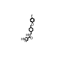 O=C(NCC1CCC(COc2ccc(F)cc2)CC1)C1C=NNC1